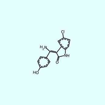 NC(=C1C(=O)Nc2ccc(Cl)cc21)c1ccc(O)cc1